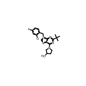 CC(C)(C)c1nc(N2CCC(O)C2)c2ncn(Cc3ccc(F)cc3Cl)c2n1